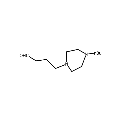 CCCCN1CCN(CCCC=O)CC1